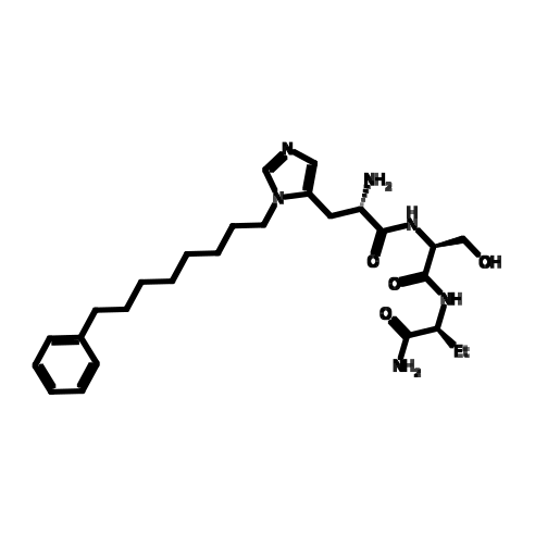 CC[C@H](NC(=O)[C@H](CO)NC(=O)[C@@H](N)Cc1cncn1CCCCCCCCc1ccccc1)C(N)=O